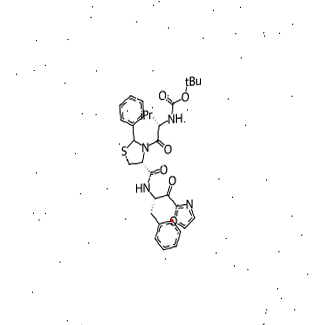 CC(C)[C@H](NC(=O)OC(C)(C)C)C(=O)N1C(c2ccccc2)SC[C@H]1C(=O)N[C@@H](Cc1ccccc1)C(=O)c1ncco1